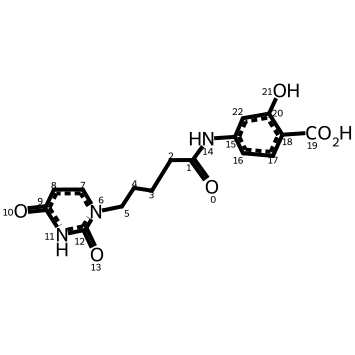 O=C(CCCCn1ccc(=O)[nH]c1=O)Nc1ccc(C(=O)O)c(O)c1